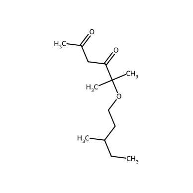 CCC(C)CCOC(C)(C)C(=O)CC(C)=O